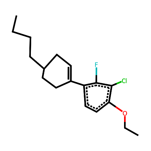 CCCCC1CC=C(c2ccc(OCC)c(Cl)c2F)CC1